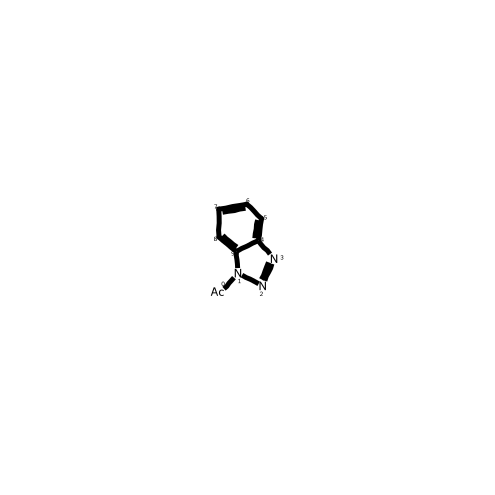 CC(=O)n1nnc2ccccc21